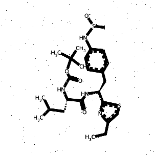 CCc1csc([C@H](Cc2ccc(N[S+]([O-])I)cc2)NC(=O)[C@H](CC(C)C)NC(=O)OC(C)(C)C)n1